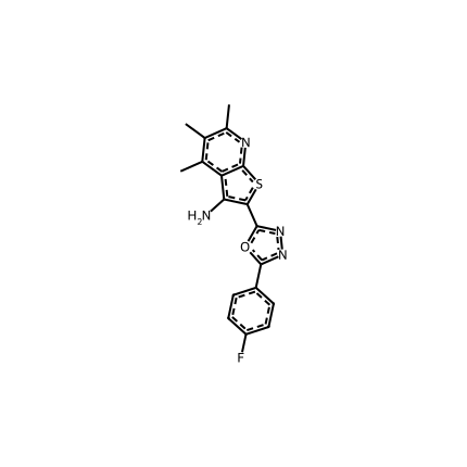 Cc1nc2sc(-c3nnc(-c4ccc(F)cc4)o3)c(N)c2c(C)c1C